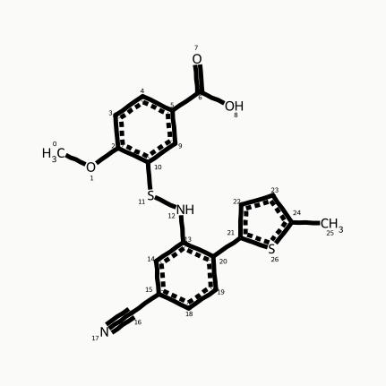 COc1ccc(C(=O)O)cc1SNc1cc(C#N)ccc1-c1ccc(C)s1